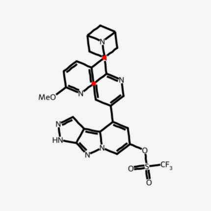 COc1ccc(CN2C3CC2CN(c2ccc(-c4cc(OS(=O)(=O)C(F)(F)F)cn5nc6[nH]ncc6c45)cn2)C3)cn1